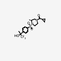 C[C@H]1CN(C(=O)C2CC2)CCN1S(=O)(=O)c1ccc(C(C)(O)C(F)(F)F)cc1